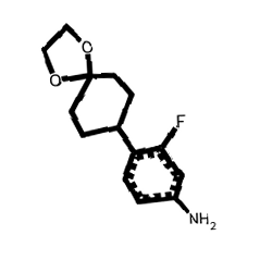 Nc1ccc(C2CCC3(CC2)OCCO3)c(F)c1